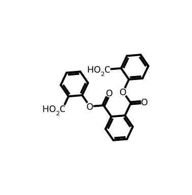 O=C(O)c1ccccc1OC(=O)c1ccccc1C(=O)Oc1ccccc1C(=O)O